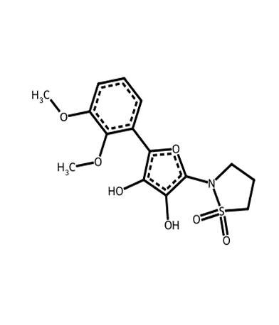 COc1cccc(-c2oc(N3CCCS3(=O)=O)c(O)c2O)c1OC